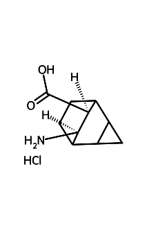 Cl.N[C@@H]1C2CCC(C3CC32)[C@@H]1C(=O)O